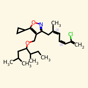 C=C(Cl)/C=C\C=C(\C)Cc1noc(C2CC2)c1COC(CC(C)C)C(C)CC